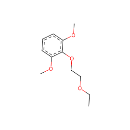 CCOCCOc1c(OC)cccc1OC